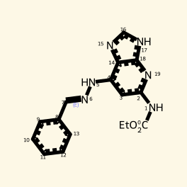 CCOC(=O)Nc1cc(N/N=C/c2ccccc2)c2nc[nH]c2n1